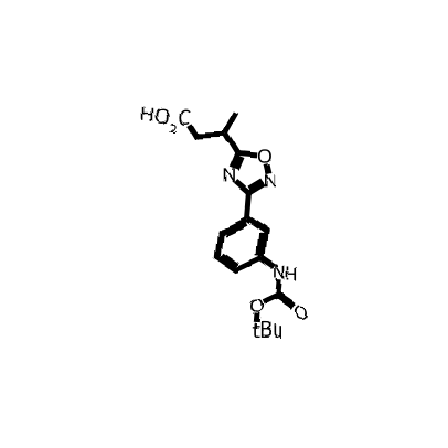 CC(CC(=O)O)c1nc(-c2cccc(NC(=O)OC(C)(C)C)c2)no1